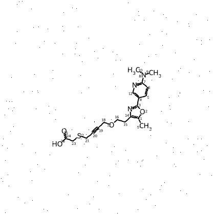 Cc1oc(-c2ccc(N(C)C)nc2)nc1CCOCC#CCSCC(=O)O